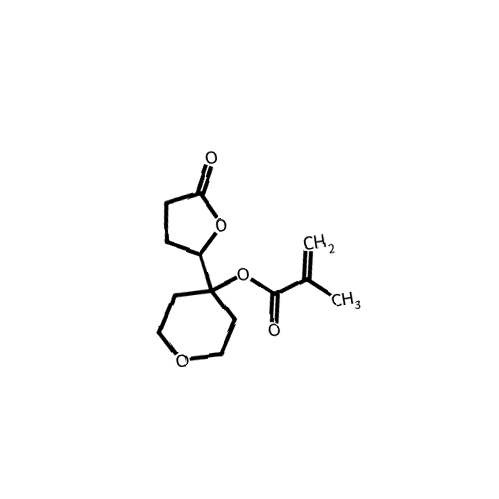 C=C(C)C(=O)OC1(C2CCC(=O)O2)CCOCC1